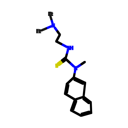 CCN(CC)CCNC(=S)N(C)c1ccc2ccccc2c1